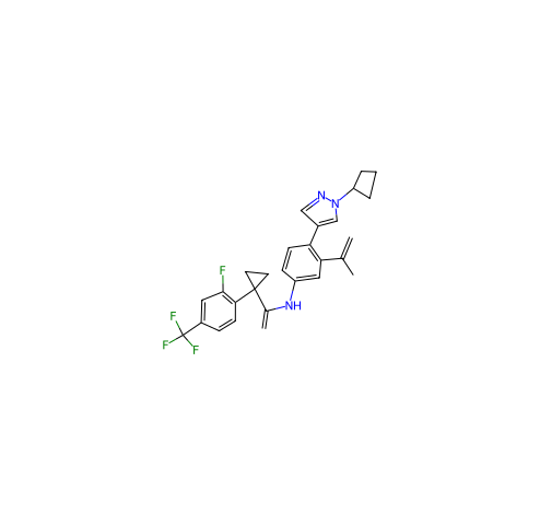 C=C(C)c1cc(NC(=C)C2(c3ccc(C(F)(F)F)cc3F)CC2)ccc1-c1cnn(C2CCC2)c1